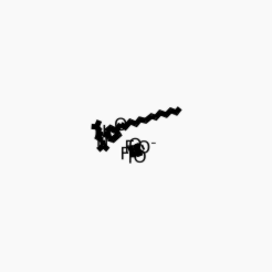 CCCCCCCCCCCCOc1ccc2c(c1)[n+](C(C)C)cn2C(C)C.O=S(=O)([O-])C(F)(F)F